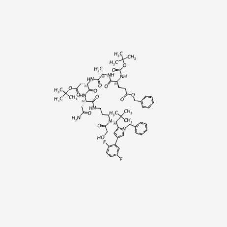 C[C@H](NC(=O)[C@H](CCC(=O)OCc1ccccc1)NC(=O)OC(C)(C)C)C(=O)N[C@@H](CC(=O)OC(C)(C)C)C(=O)N[C@@H](CC(N)=O)C(=O)NCCCN(C(=O)CO)[C@@H](c1cc(-c2cc(F)ccc2F)cn1Cc1ccccc1)C(C)(C)C